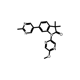 COc1cnc(N2C(=O)C(C)(C)c3ccc(-c4cnc(C)nc4)cc32)cn1